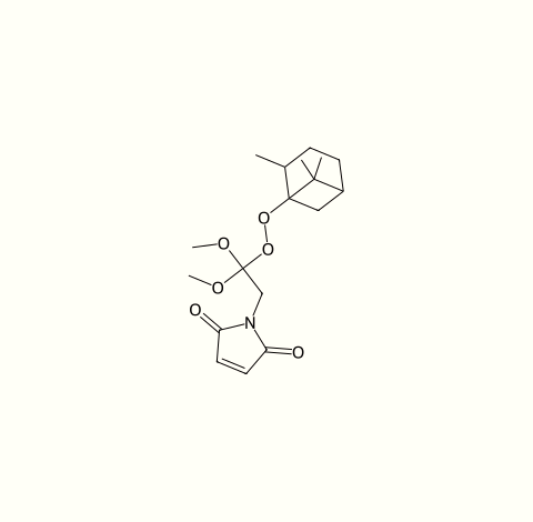 COC(CN1C(=O)C=CC1=O)(OC)OOC12CC(CCC1C)C2(C)C